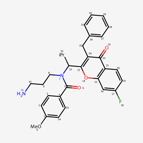 COc1ccc(C(=O)N(CCCN)C(c2oc3cc(F)ccc3c(=O)c2Cc2ccccc2)C(C)C)cc1